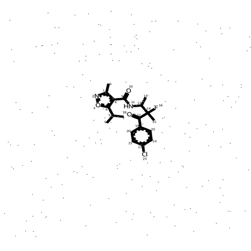 Cc1noc(C(C)C)c1C(=O)NC(C)C(C)(F)C(=O)c1ccc(Cl)cc1